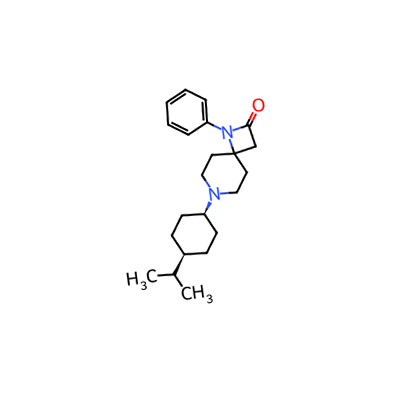 CC(C)[C@H]1CC[C@@H](N2CCC3(CC2)CC(=O)N3c2ccccc2)CC1